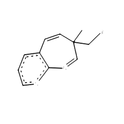 CC(C)CC1(C)C=Cc2cccnc2N=C1